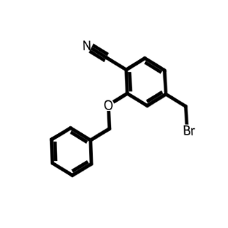 N#Cc1ccc(CBr)cc1OCc1ccccc1